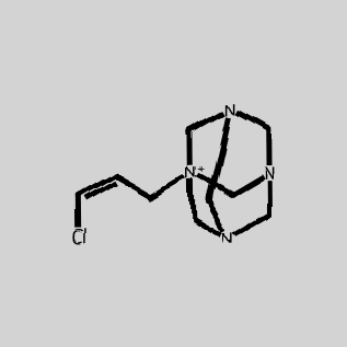 Cl/C=C\C[N+]12CN3CN(CN(C3)C1)C2